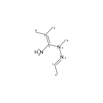 C/C=N/N(C)C(N)=C(C)C